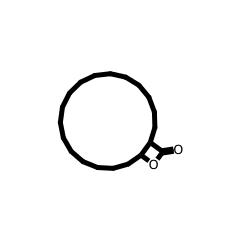 O=C1OC2CCCCCCCCCCCCCCCCCC12